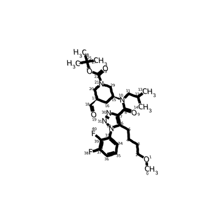 COCCCCc1c(C(=O)N(CC(C)C)[C@H]2C[C@@H](C=O)CN(C(=O)OC(C)(C)C)C2)nnn1-c1cccc(F)c1F